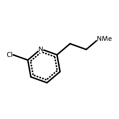 CNCCc1cccc(Cl)n1